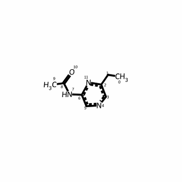 CCc1cncc(NC(C)=O)n1